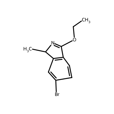 CCOC1=NC(C)c2cc(Br)ccc21